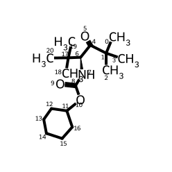 CC(C)(C)C(=O)[C@@H](NC(=O)OC1CCCCC1)C(C)(C)C